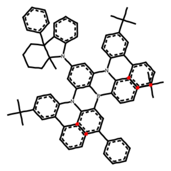 CC(C)(C)c1ccc(N2c3ccc(-c4ccccc4)cc3B3c4ccc(C(C)(C)C)cc4N(c4ccc(C(C)(C)C)cc4-c4ccccc4)c4cc(N5c6ccccc6C6(c7ccccc7)CCCCC56C)cc2c43)c(-c2ccccc2)c1